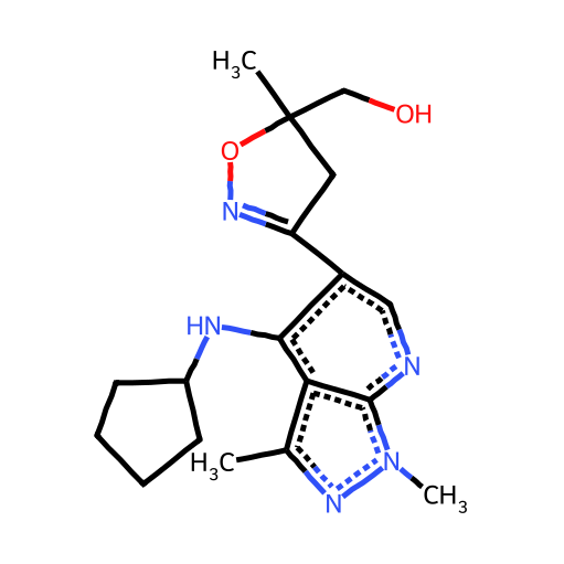 Cc1nn(C)c2ncc(C3=NOC(C)(CO)C3)c(NC3CCCC3)c12